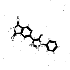 Cc1c(-c2ccc3c(c2)C(=O)NC3=O)nnn1-c1ccccc1